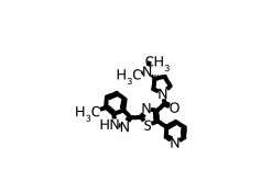 Cc1cccc2c(-c3nc(C(=O)N4CC[C@H](N(C)C)C4)c(-c4cccnc4)s3)n[nH]c12